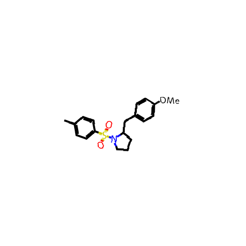 COc1ccc(CC2CCCN2S(=O)(=O)c2ccc(C)cc2)cc1